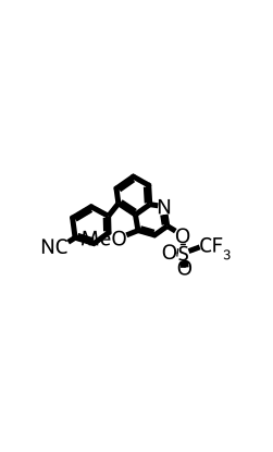 COc1cc(OS(=O)(=O)C(F)(F)F)nc2cccc(-c3ccc(C#N)cc3)c12